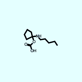 CCCCCNC1(OC(=O)O)CCCC1